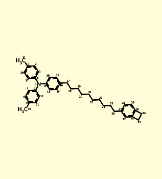 Cc1ccc(N(c2ccc(C)cc2)c2ccc(CCCCCCCCCCc3ccc4c(c3)CC4)cc2)cc1